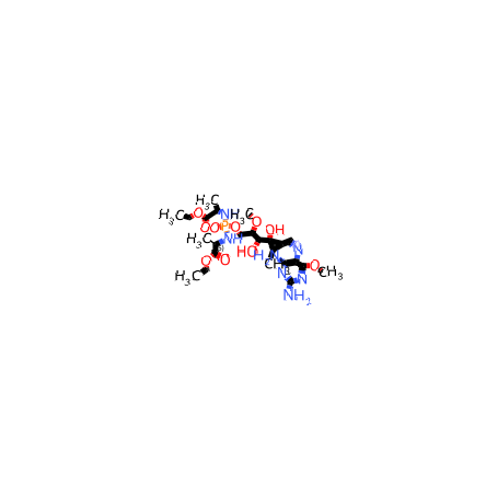 CCOC(=O)C(C)NP(=O)(N[C@@H](C)C(=O)OCC)OCC(OC)C(O)C1(O)C(C)C1/C=N\c1c(N)nc(N)nc1OC